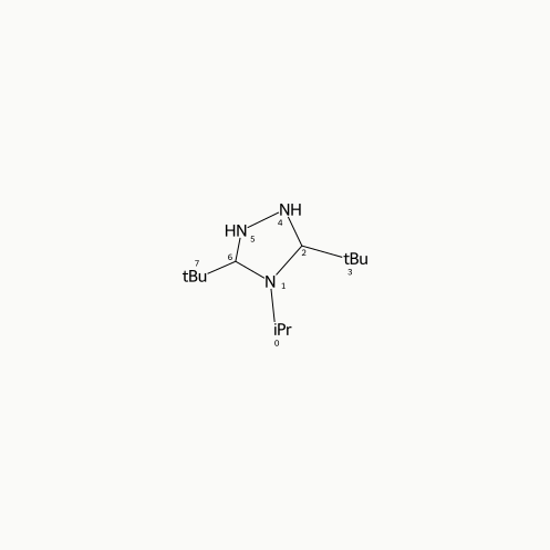 CC(C)N1C(C(C)(C)C)NNC1C(C)(C)C